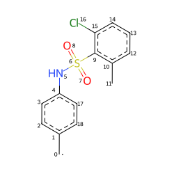 [CH2]c1ccc(NS(=O)(=O)c2c(C)cccc2Cl)cc1